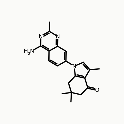 Cc1nc(N)c2ccc(-n3cc(C)c4c3CC(C)(C)CC4=O)cc2n1